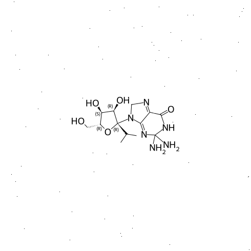 CC(C)[C@@]1(N2CN=C3C(=O)NC(N)(N)N=C32)O[C@H](CO)[C@@H](O)[C@H]1O